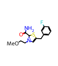 COCCN1C=C(Cc2cccc(F)c2)SC1C(N)=O